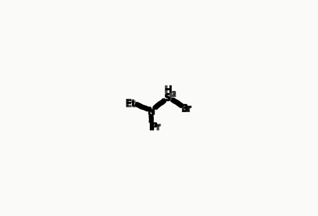 CCN([SiH2]Br)C(C)C